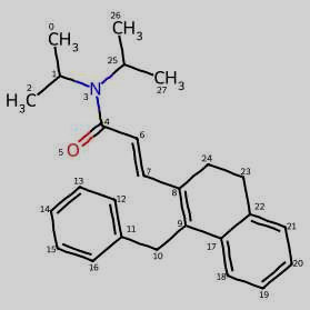 CC(C)N(C(=O)C=CC1=C(Cc2ccccc2)c2ccccc2CC1)C(C)C